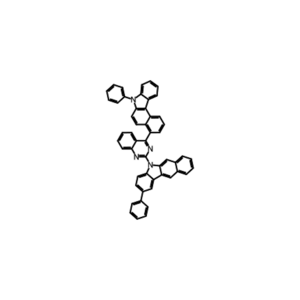 c1ccc(-c2ccc3c(c2)c2cc4ccccc4cc2n3-c2nc(-c3cccc4c3ccc3c4c4ccccc4n3-c3ccccc3)c3ccccc3n2)cc1